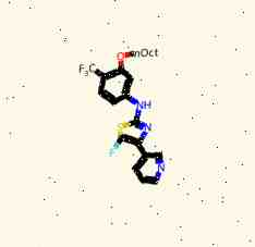 CCCCCCCCOc1cc(Nc2nc(-c3cccnc3)c(F)s2)ccc1C(F)(F)F